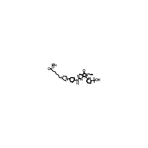 C=CCn1c(=O)c2cnc(Nc3ccc(N4CCN(CCCCCC(=O)OC(C)(C)C)CC4)cc3)nc2n1-c1cccc(C(C)(C)O)n1